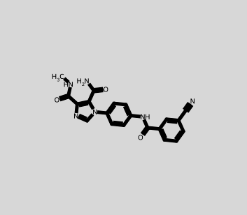 CNC(=O)c1ncn(-c2ccc(NC(=O)c3cccc(C#N)c3)cc2)c1C(N)=O